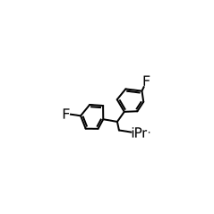 C[C](C)CC(c1ccc(F)cc1)c1ccc(F)cc1